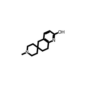 CN1CCC2(CCc3nc(O)ccc3C2)CC1